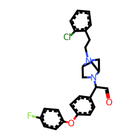 O=CC(c1ccc(Oc2ccc(F)cc2)cc1)N1CC2CC1CN2CCc1ccccc1Cl